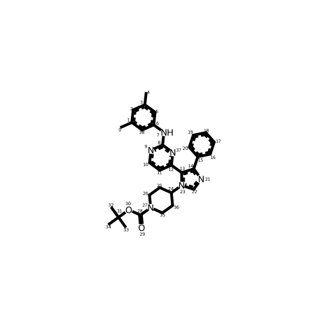 Cc1cc(C)cc(Nc2nccc(-c3c(-c4ccccc4)ncn3C3CCN(C(=O)OC(C)(C)C)CC3)n2)c1